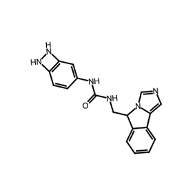 O=C(NCC1c2ccccc2-c2cncn21)Nc1ccc2[nH][nH]c2c1